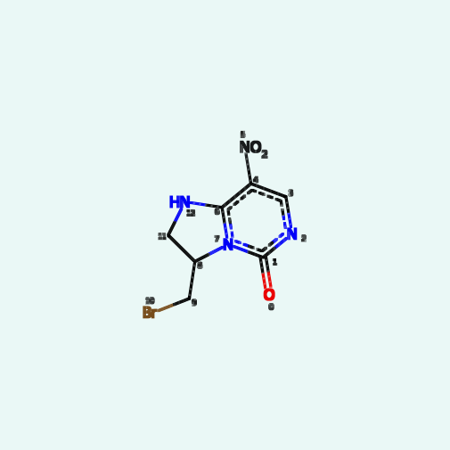 O=c1ncc([N+](=O)[O-])c2n1C(CBr)CN2